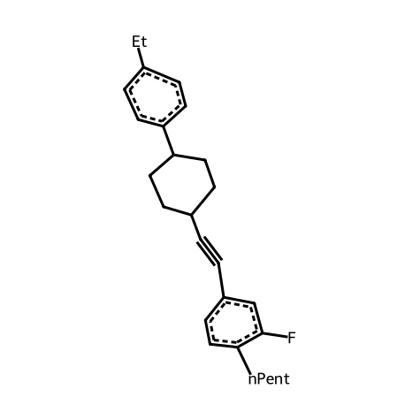 CCCCCc1ccc(C#CC2CCC(c3ccc(CC)cc3)CC2)cc1F